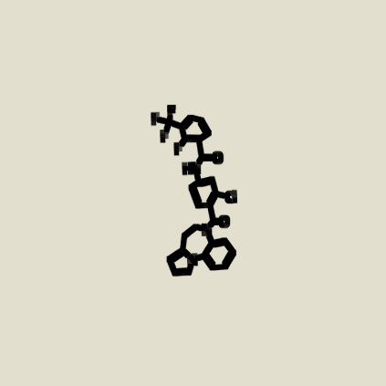 O=C(Nc1ccc(C(=O)N2CCc3cccn3-c3ccccc32)c(Cl)c1)c1cccc(C(F)(F)F)c1F